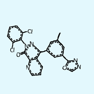 Cc1cc(-c2nnco2)cc(-c2nn(-c3c(Cl)cccc3Cl)c(=O)c3ncccc23)c1